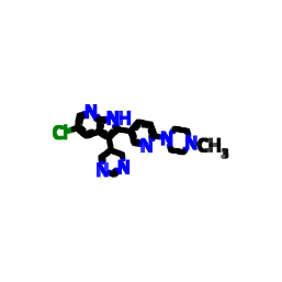 CN1CCN(c2ccc(-c3[nH]c4ncc(Cl)cc4c3C3C=NC=NC3)cn2)CC1